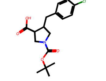 CC(C)(C)OC(=O)N1CC(Cc2ccc(Cl)cc2)C(C(=O)O)C1